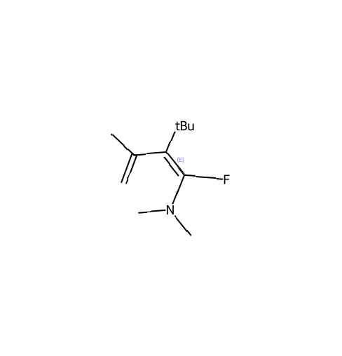 C=C(C)/C(=C(/F)N(C)C)C(C)(C)C